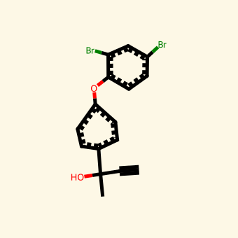 C#CC(C)(O)c1ccc(Oc2ccc(Br)cc2Br)cc1